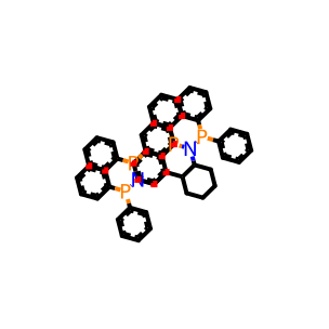 c1ccc(P(c2ccccc2)N(CCC2CCCCC2N(P(c2ccccc2)c2ccccc2)P(c2ccccc2)c2ccccc2)P(c2ccccc2)c2ccccc2)cc1